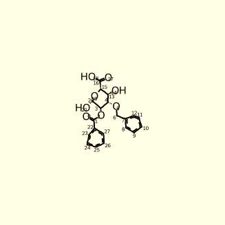 O=C(O[C@@H]1[C@@H](OCc2ccccc2)[C@H](O)[C@H](C(=O)O)O[C@H]1O)c1ccccc1